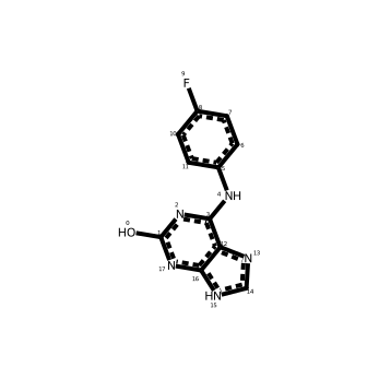 Oc1nc(Nc2ccc(F)cc2)c2nc[nH]c2n1